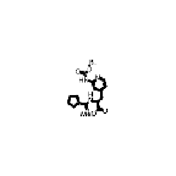 COC(=O)C(Cc1ccnc(NC(=O)OC(C)(C)C)c1)NC(=O)C1CCCC1